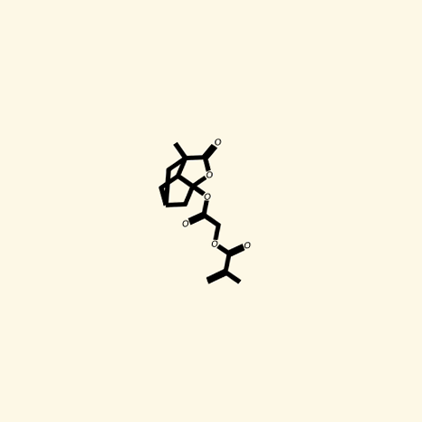 C=C(C)C(=O)OCC(=O)OC12CC3CC1C(C)(C3)C(=O)O2